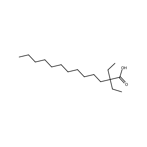 CCCCCCCCCCCC(CC)(CC)C(=O)O